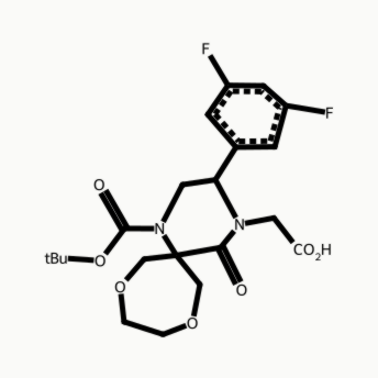 CC(C)(C)OC(=O)N1CC(c2cc(F)cc(F)c2)N(CC(=O)O)C(=O)C12COCCOC2